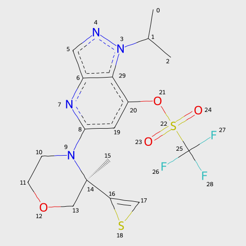 CC(C)n1ncc2nc(N3CCOC[C@]3(C)C3=CS3)cc(OS(=O)(=O)C(F)(F)F)c21